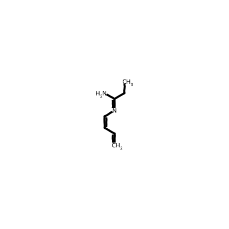 C=C/C=C\N=C(/N)CC